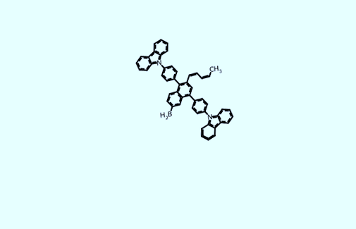 Bc1ccc2c(-c3ccc(-n4c5ccccc5c5ccccc54)cc3)c(/C=C\C=C/C)cc(-c3ccc(-n4c5c(c6ccccc64)C=C=C=C5)cc3)c2c1